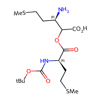 CSCC[C@@H](N)C(OC(=O)[C@@H](CCSC)NC(=O)OC(C)(C)C)C(=O)O